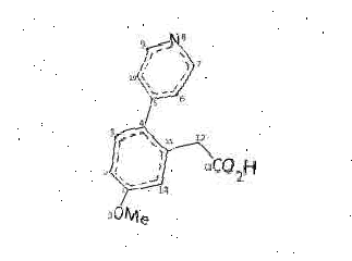 COc1ccc(-c2ccncc2)c(CC(=O)O)c1